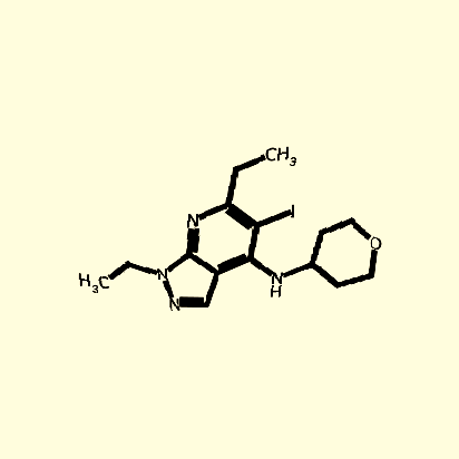 CCc1nc2c(cnn2CC)c(NC2CCOCC2)c1I